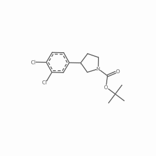 CC(C)(C)OC(=O)N1CC[C](c2ccc(Cl)c(Cl)c2)C1